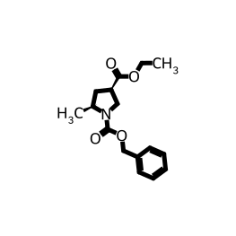 CCOC(=O)[C@@H]1C[C@H](C)N(C(=O)OCc2ccccc2)C1